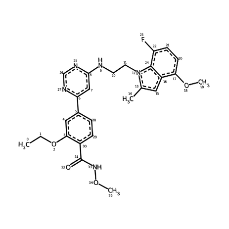 CCOc1cc(-c2cc(NCCn3c(C)cc4c(OC)ccc(F)c43)ncn2)ccc1C(=O)NOC